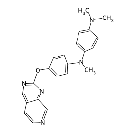 CN(C)c1ccc(N(C)c2ccc(Oc3ncc4ccncc4n3)cc2)cc1